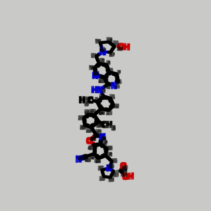 Cc1c(Nc2nccc3cc(CN4CC[C@H](O)C4)cnc23)cccc1-c1cccc(-c2nc3cc(CN4CCC[C@H]4C(=O)O)cc(C#N)c3o2)c1C